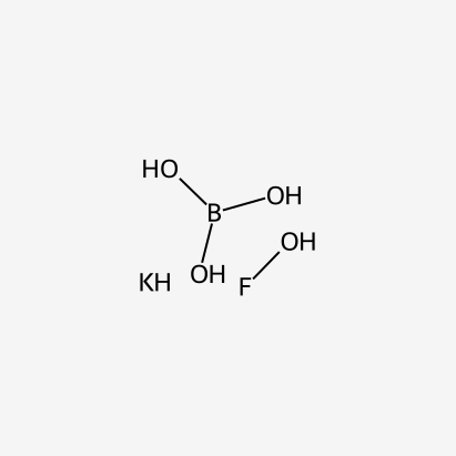 OB(O)O.OF.[KH]